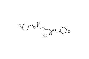 O=C(CCCCC(=O)OCC1CCC2OC2C1)OCC1CCC2OC2C1.[Pb]